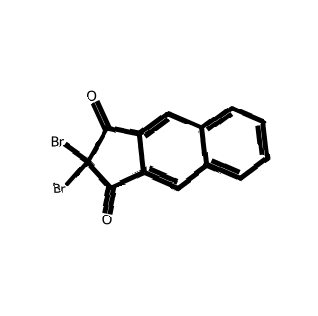 O=C1c2cc3ccccc3cc2C(=O)C1(Br)Br